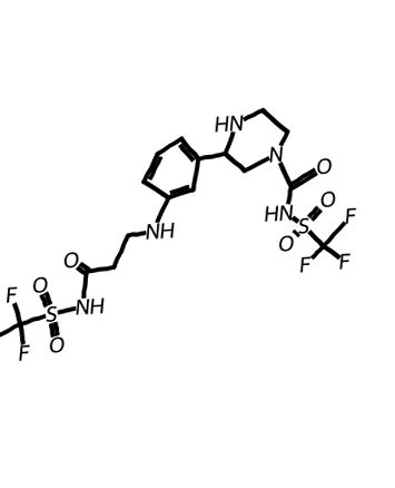 O=C(CCNc1cccc(C2CN(C(=O)NS(=O)(=O)C(F)(F)F)CCN2)c1)NS(=O)(=O)C(F)(F)F